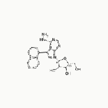 NNc1ncnc2c1c(-c1cccc3ccccc13)cn2[C@@H]1O[C@H](CO)C(O)C1O